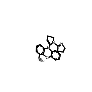 CCCCc1cccc2c1Oc1ccccc1N2C1=CCCN1C1=NCCC1